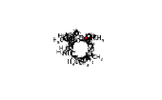 CC[C@H](C)C1NC(=O)[C@@H](NC(=O)[C@@H](CC(C)C)N(C)C(=S)Nc2ccccc2)[C@@H](C)OC(=O)[C@H](Cc2ccc(OC)cc2)N(C)C(=O)C2CCCN2C(=O)[C@H](CC(C)C)NC(=O)[C@@H](C)C(=O)[C@H](C(C)C)OC(=O)C[C@@H]1O